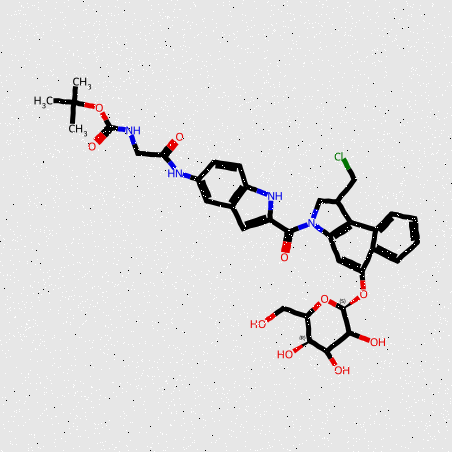 CC(C)(C)OC(=O)NCC(=O)Nc1ccc2[nH]c(C(=O)N3CC(CCl)c4c3cc(O[C@@H]3OC(CO)[C@H](O)C(O)C3O)c3ccccc43)cc2c1